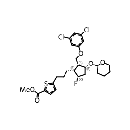 COC(=O)c1ccc(CCC[C@@H]2[C@@H](COc3cc(Cl)cc(Cl)c3)[C@H](OC3CCCCO3)C[C@H]2F)s1